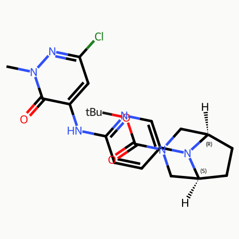 Cn1nc(Cl)cc(Nc2ccc(N3[C@@H]4CC[C@H]3CN(C(=O)OC(C)(C)C)C4)cn2)c1=O